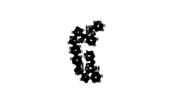 O=C(Cc1cccnc1)N[C@@H](C(=O)N1CCC[C@H]1c1ncc(-c2ccc(-c3ccc(-c4cnc([C@@H]5CCCN5C(=O)[C@H](NC(=O)Cc5cccnc5)c5ccccc5)[nH]4)cc3)cc2)[nH]1)c1ccccc1